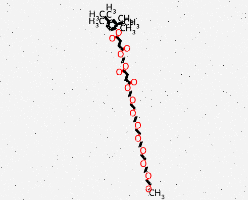 COCCOCCOCCOCCOCCOCCOCCOCCOC(=O)CCC(=O)OCCOC(=O)CCC(=O)Oc1ccc(C(C)(C)C)cc1C(C)(C)C